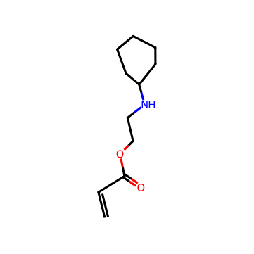 C=CC(=O)OCCNC1CCCCC1